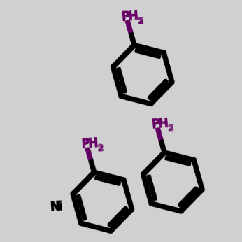 Pc1ccccc1.Pc1ccccc1.Pc1ccccc1.[Ni]